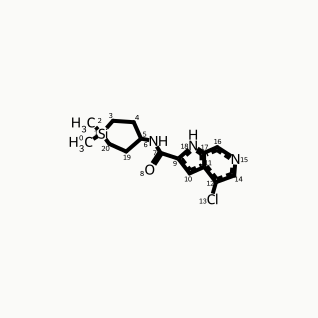 C[Si]1(C)CCC(NC(=O)c2cc3c(Cl)cncc3[nH]2)CC1